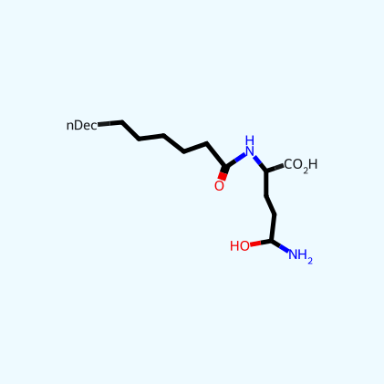 CCCCCCCCCCCCCCCC(=O)NC(CCC(N)O)C(=O)O